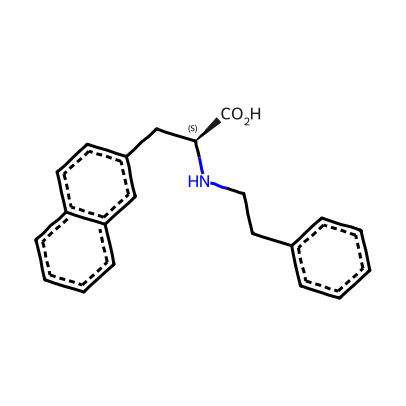 O=C(O)[C@H](Cc1ccc2ccccc2c1)NCCc1ccccc1